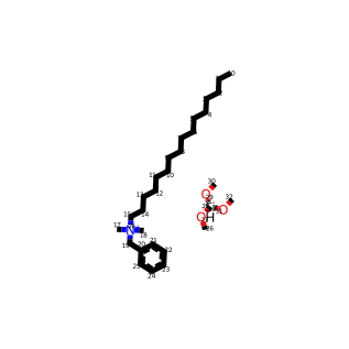 CCCCCCCCCCCCCCCC[N+](C)(C)Cc1ccccc1.CO[SiH](OC)OC